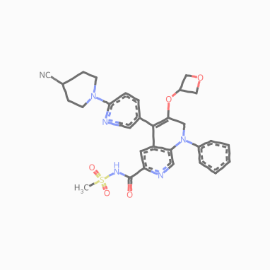 CS(=O)(=O)NC(=O)c1cc2c(cn1)N(c1ccccc1)CC(OC1COC1)=C2c1ccc(N2CCC(C#N)CC2)nc1